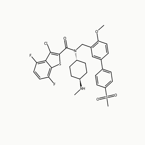 CN[C@H]1CC[C@H](N(Cc2cc(-c3ccc(S(C)(=O)=O)cc3)ccc2OC)C(=O)c2sc3c(F)ccc(F)c3c2Cl)CC1